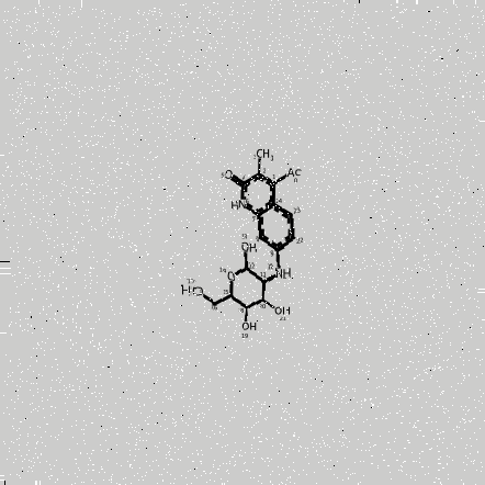 CC(=O)c1c(C)c(=O)[nH]c2cc(NC3C(O)OC(CO)[C@H](O)C3O)ccc12